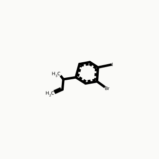 C=C[C](C)c1ccc(I)c(Br)c1